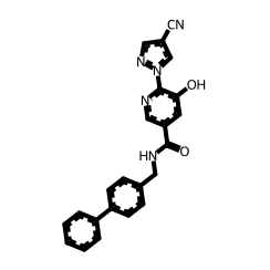 N#Cc1cnn(-c2ncc(C(=O)NCc3ccc(-c4ccccc4)cc3)cc2O)c1